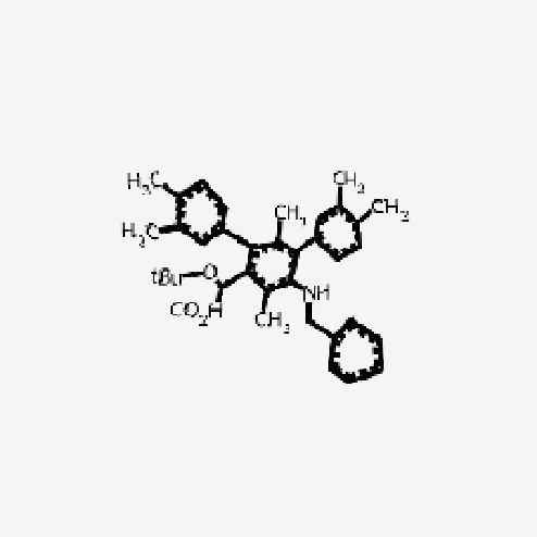 Cc1ccc(-c2c(C)c(-c3ccc(C)c(C)c3)c(C(OC(C)(C)C)C(=O)O)c(C)c2NCc2ccccc2)cc1C